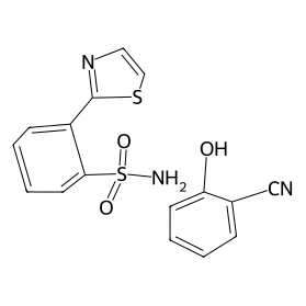 N#Cc1ccccc1O.NS(=O)(=O)c1ccccc1-c1nccs1